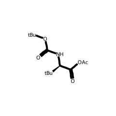 CC(=O)OC(=O)[C@H](NC(=O)OC(C)(C)C)C(C)(C)C